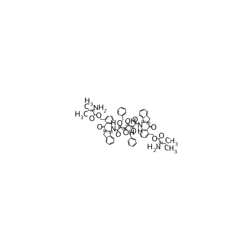 CC(C)[C@H](N)C(=O)OCc1ccccc1C(=O)[C@@H]1Cc2ccccc2[C@H]1NC(=O)[C@H](OCc1ccccc1)[C@H](O)[C@@H](O)[C@@H](OCc1ccccc1)C(=O)N[C@@H]1c2ccccc2C[C@H]1C(=O)c1ccccc1COC(=O)[C@@H](N)C(C)C